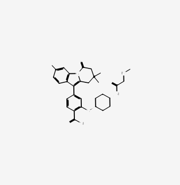 CNCC(=O)N[C@H]1CC[C@H](Nc2cc(-c3c4n(c5cc(F)ccc35)C(=O)CC(C)(C)C4)ccc2C(N)=O)CC1